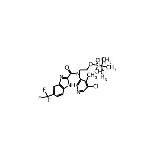 Cc1c(Cl)cncc1N(CCO[Si](C)(C)C(C)(C)C)C(=O)c1nc2cc(C(F)(F)F)ccc2[nH]1